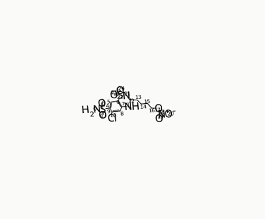 NS(=O)(=O)c1cc2c(cc1Cl)NC(CCCCO[N+](=O)[O-])=NS2(=O)=O